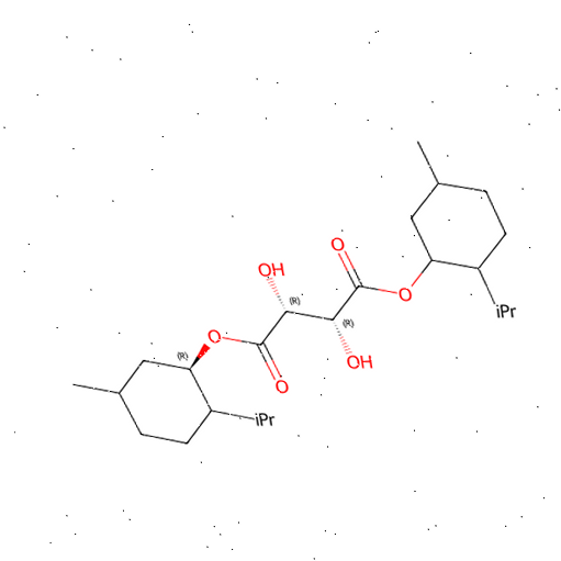 CC1CCC(C(C)C)C(OC(=O)[C@H](O)[C@@H](O)C(=O)O[C@@H]2CC(C)CCC2C(C)C)C1